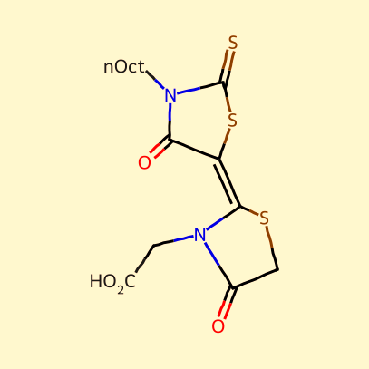 CCCCCCCCN1C(=O)C(=C2SCC(=O)N2CC(=O)O)SC1=S